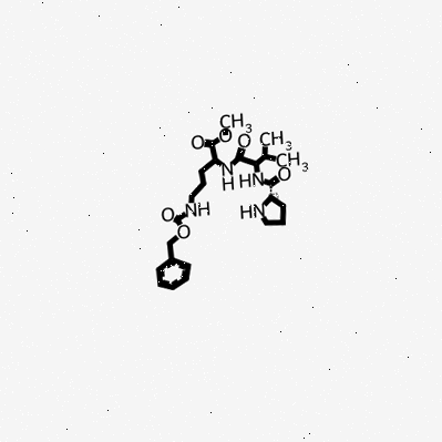 COC(=O)C(CCCNC(=O)OCc1ccccc1)NC(=O)C(NC(=O)[C@@H]1CCCN1)C(C)C